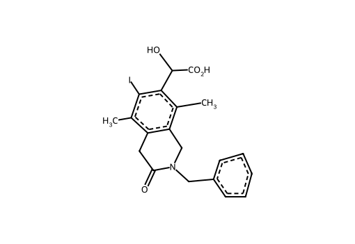 Cc1c(I)c(C(O)C(=O)O)c(C)c2c1CC(=O)N(Cc1ccccc1)C2